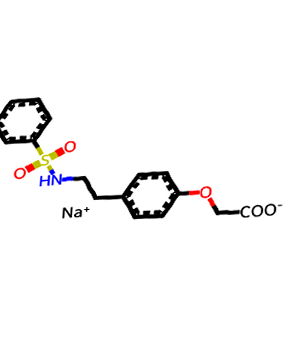 O=C([O-])COc1ccc(CCNS(=O)(=O)c2ccccc2)cc1.[Na+]